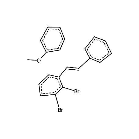 Brc1cccc(C=Cc2ccccc2)c1Br.COc1ccccc1